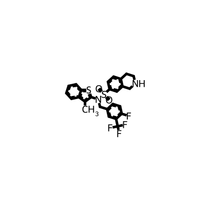 Cc1c(N(Cc2ccc(F)c(C(F)(F)F)c2)S(=O)(=O)c2ccc3c(c2)CNCC3)sc2ccccc12